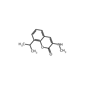 CNc1cc2cccc(C(C)C)c2oc1=O